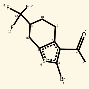 CC(=O)c1c(Br)sc2c1CCC(C(F)(F)F)C2